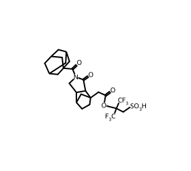 O=C(CC12CCC(C1)C1CN(C(=O)C34CC5CC(CC(C5)C3)C4)C(=O)C12)OC(CS(=O)(=O)O)(C(F)(F)F)C(F)(F)F